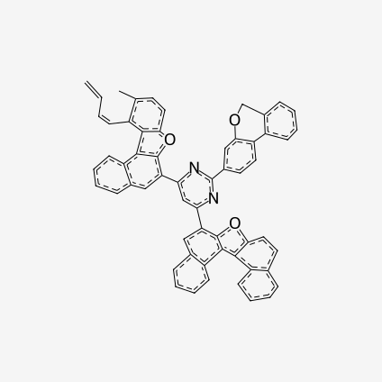 C=C/C=C\c1c(C)ccc2oc3c(-c4cc(-c5cc6ccccc6c6c5oc5ccc7ccccc7c56)nc(-c5ccc6c(c5)OCc5ccccc5-6)n4)cc4ccccc4c3c12